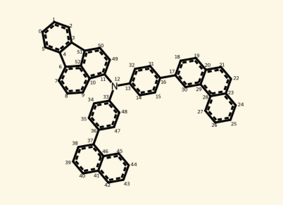 c1ccc2c(c1)-c1cccc3c(N(c4ccc(-c5ccc6ccc7ccccc7c6c5)cc4)c4ccc(-c5cccc6ccccc56)cc4)ccc-2c13